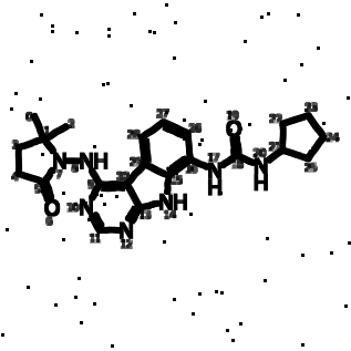 CC1(C)CCC(=O)N1Nc1ncnc2[nH]c3c(NC(=O)NC4CCCC4)cccc3c12